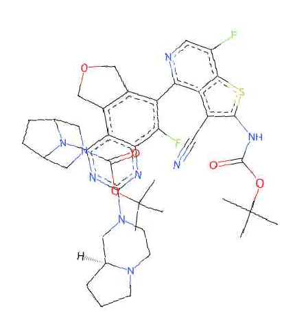 CC(C)(C)OC(=O)Nc1sc2c(F)cnc(-c3c4c(c5c(N6C7CCC6CN(C(=O)OC(C)(C)C)C7)nc(N6CCN7CCC[C@H]7C6)nc5c3F)COC4)c2c1C#N